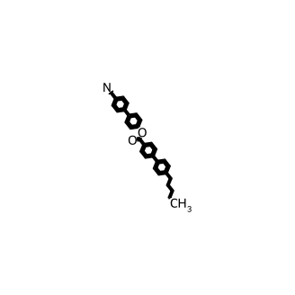 CCCCCc1ccc(-c2ccc(C(=O)Oc3ccc(-c4ccc(C#N)cc4)cc3)cc2)cc1